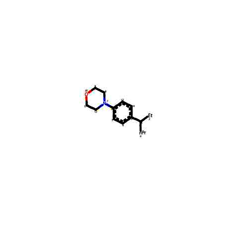 CCCC(CC)c1ccc(N2CCOCC2)cc1